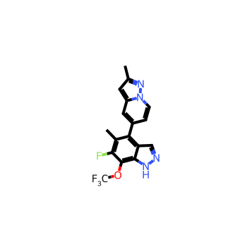 Cc1cc2cc(-c3c(C)c(F)c(OC(F)(F)F)c4[nH]ncc34)ccn2n1